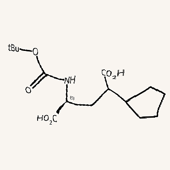 CC(C)(C)OC(=O)N[C@@H](CC(C(=O)O)C1CCCC1)C(=O)O